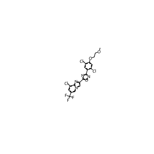 COCCOc1cc(Cl)c(-c2noc(-c3cn4cc(C(F)(F)F)cc(Cl)c4n3)n2)cc1Cl